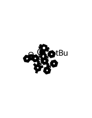 Cc1cc(C)c(N2c3cc4c(cc3B3c5oc6c(c5N(c5ccc(C(C)(C)C)cc5)c5cc(N(c7ccccc7)c7ccccc7)cc2c53)C(C)(C)CCC6(C)C)oc2ccccc24)c(C)c1